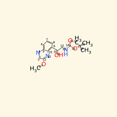 COc1cnc2cccc(C(O)CNC(=O)OC(C)(C)C)c2n1